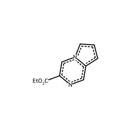 CCOC(=O)c1cn2cccc2cn1